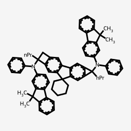 CCCC1(N(c2ccccc2)c2ccc3c(c2)C(C)(C)c2ccccc2-3)Cc2cc3c(cc21)C1(CCCCC1)c1cc2c(cc1-3)C2(CCC)N(c1ccccc1)c1ccc2c(c1)C(C)(C)c1ccccc1-2